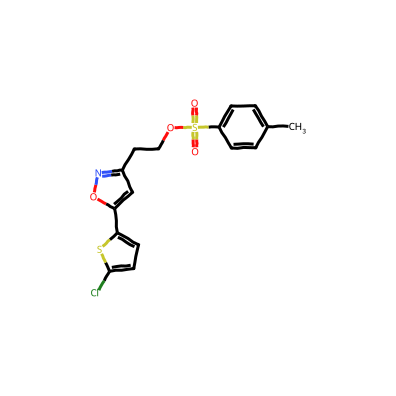 Cc1ccc(S(=O)(=O)OCCc2cc(-c3ccc(Cl)s3)on2)cc1